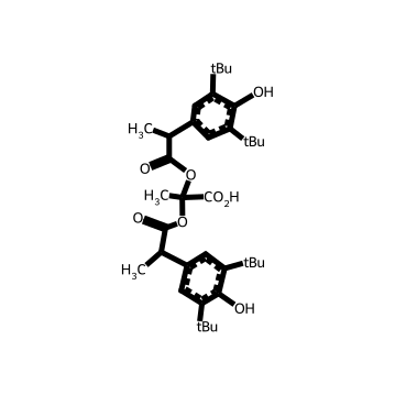 CC(C(=O)OC(C)(OC(=O)C(C)c1cc(C(C)(C)C)c(O)c(C(C)(C)C)c1)C(=O)O)c1cc(C(C)(C)C)c(O)c(C(C)(C)C)c1